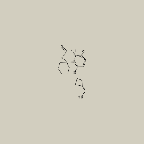 O=C1Nc2c(Cl)ccc(O[C@H]3C[C@H](CO)C3)c2C2(CCCCC2)N1